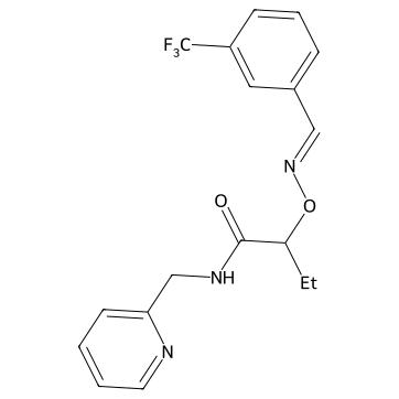 CCC(ON=Cc1cccc(C(F)(F)F)c1)C(=O)NCc1ccccn1